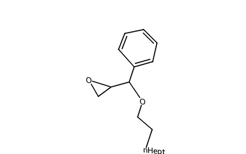 CCCCCCCCCOC(c1ccccc1)C1CO1